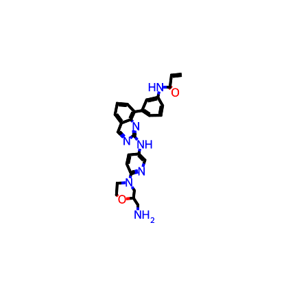 C=CC(=O)Nc1cccc(-c2cccc3cnc(Nc4ccc(N5CCOC(CN)C5)nc4)nc23)c1